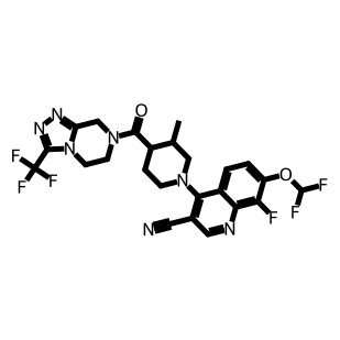 CC1CN(c2c(C#N)cnc3c(F)c(OC(F)F)ccc23)CCC1C(=O)N1CCn2c(nnc2C(F)(F)F)C1